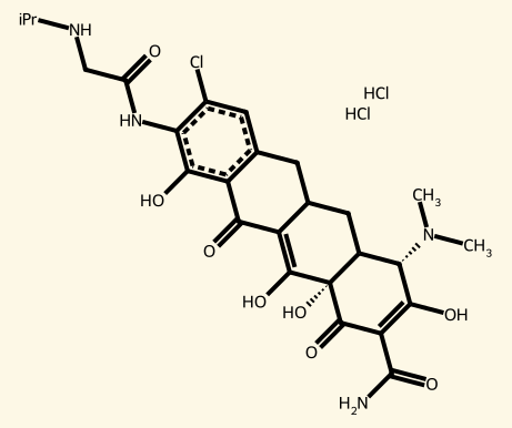 CC(C)NCC(=O)Nc1c(Cl)cc2c(c1O)C(=O)C1=C(O)[C@]3(O)C(=O)C(C(N)=O)=C(O)[C@@H](N(C)C)C3CC1C2.Cl.Cl